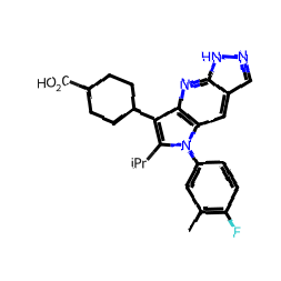 Cc1cc(-n2c(C(C)C)c(C3CCC(C(=O)O)CC3)c3nc4[nH]ncc4cc32)ccc1F